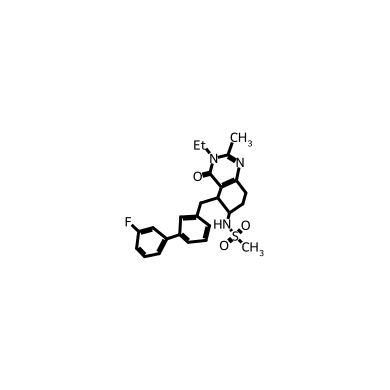 CCn1c(C)nc2c(c1=O)C(Cc1cccc(-c3cccc(F)c3)c1)C(NS(C)(=O)=O)CC2